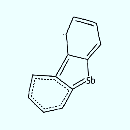 [CH]1C=CC=[C]2[Sb]=[c]3ccccc3=C12